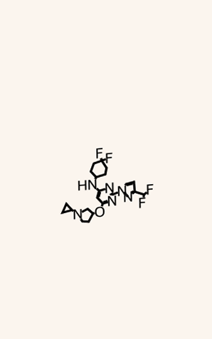 FC(F)c1ccn(-c2nc(NC3CCC(F)(F)CC3)cc(OC3CCN(C4CC4)C3)n2)n1